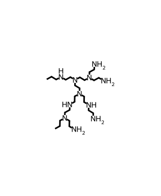 CCCNCCN(CCN(CCN)CCN)CCN(CCNCCN)CCNCCN(CCC)CCN